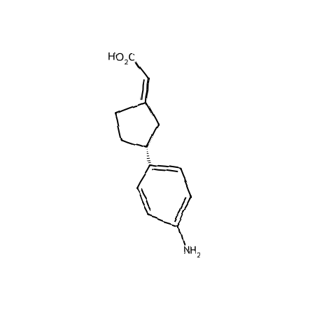 Nc1ccc([C@@H]2CC/C(=C\C(=O)O)C2)cc1